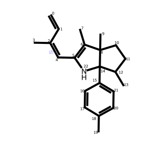 C=C/C(C)=C\C1=C(C)C2(C)CCC(C)C2(c2ccc(C)cc2)N1